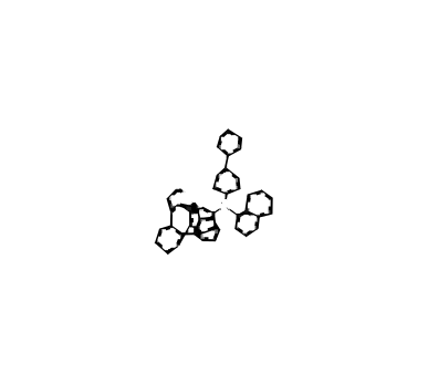 c1ccc(-c2ccc(N(c3ccc4c(c3)-c3c5cccc3-c3cccc-4c3-c3ccccc3-5)c3cccc4ccccc34)cc2)cc1